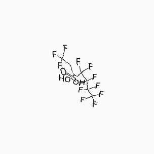 O=S(O)(O)(CC(F)(F)F)C(F)(F)C(F)(F)C(F)(F)C(F)(F)F